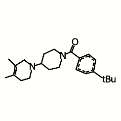 CC1=C(C)CN(C2CCN(C(=O)c3ccc(C(C)(C)C)cc3)CC2)CC1